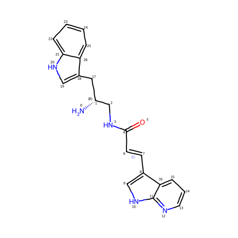 N[C@@H](CNC(=O)/C=C/c1c[nH]c2ncccc12)Cc1c[nH]c2ccccc12